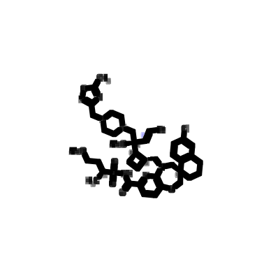 CC/C=C/[C@](CN1CCN(Cc2noc(C)n2)CC1)(OC)[C@@H]1CC[C@H]1CN1C[C@@]2(CCCc3cc(Cl)ccc32)COc2ccc(C(=O)NS(=O)(=O)[C@@H](C)CCOC)nc21